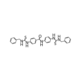 O=C(Nc1ccc(NC(=S)NCc2ccccc2)cc1)c1ccc(NC(=S)NCc2ccccc2)cc1